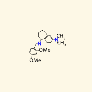 COc1ccc(C/N=C2\CCCCc3cc(N(C)C)ccc32)c(OC)c1